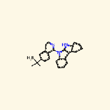 BC(C)(C)c1ccc2c(-n3c4ccccc4c4c5ccccc5[nH]c43)nccc2c1